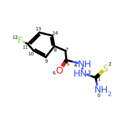 NC(=S)NNC(=O)Cc1ccc(F)cc1